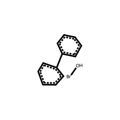 OBr.c1ccc(-c2ccccc2)cc1